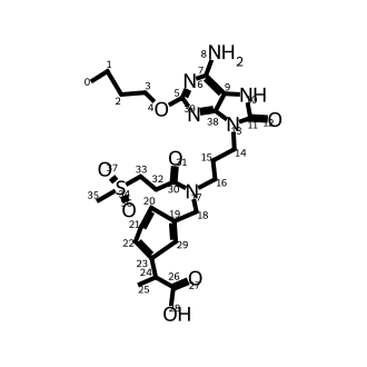 CCCCOc1nc(N)c2[nH]c(=O)n(CCCN(Cc3cccc(C(C)C(=O)O)c3)C(=O)CCS(C)(=O)=O)c2n1